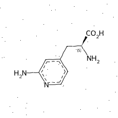 Nc1cc(C[C@H](N)C(=O)O)ccn1